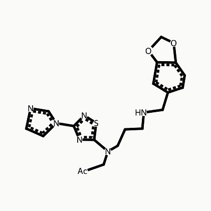 CC(=O)CN(CCCNCc1ccc2c(c1)OCO2)c1nc(-n2ccnc2)ns1